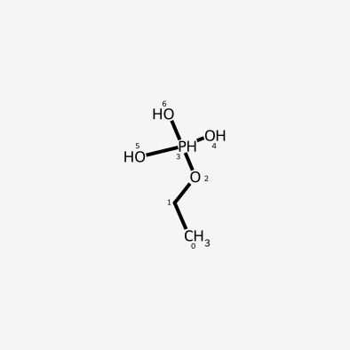 CCO[PH](O)(O)O